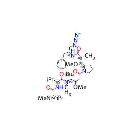 CC[C@H](C)[C@@H]([C@@H](CC(=O)N1CCC[C@H]1[C@H](OC)[C@@H](C)C(=O)N[C@H](CN=[N+]=[N-])Cc1ccccc1)OC)N(C)C(=O)[C@@H](NC(=O)[C@@H](NC)C(C)C)C(C)C